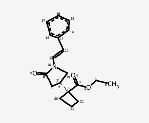 CCOC(=O)C1([C@@H]2CC(=O)N(C=Cc3ccccc3)C2)CCC1